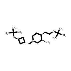 C[C@H]1CN(C[C@H]2C[C@H](OC(C)(C)C)C2)CC[C@H]1CCOC(C)(C)C